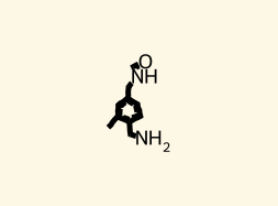 Cc1cc(CNC=O)ccc1CN